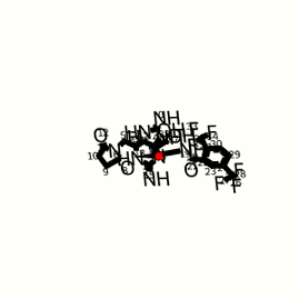 N=C1N[C@H]2C(CN3C(=O)CCC3=O)NC(=N)N3CC(NC(=O)c4cc(C(F)(F)F)ccc4C(F)(F)F)C(O)(O)[C@]23N1